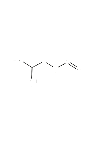 CC(C)NON=O